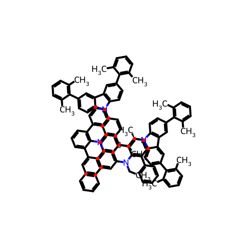 CCN(c1cc(-c2ccccc2)cc2c1B(C(C)[C@@H](C)n1c3ccc(-c4c(C)cccc4C)cc3c3cc(-c4c(C)cccc4C)ccc31)c1ccc(-n3c4ccc(-c5c(C)cccc5C)cc4c4cc(-c5c(C)cccc5C)ccc43)cc1N2c1c(-c2ccccc2)cccc1-c1ccccc1)c1c(-c2ccccc2)cccc1-c1ccccc1